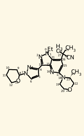 CCn1nc(-c2ccn(C3CCCCO3)n2)c2nc(N3CCOC[C@H]3C)cc(C(C)(C)C#N)c21